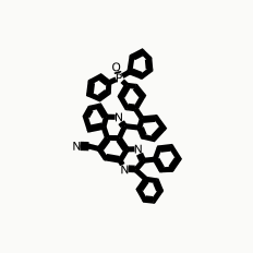 N#Cc1cc2nc(-c3ccccc3)c(-c3ccccc3)nc2c2c(-c3ccccc3-c3ccc(P(=O)(c4ccccc4)c4ccccc4)cc3)nc3ccccc3c12